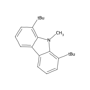 Cn1c2c(C(C)(C)C)cccc2c2cccc(C(C)(C)C)c21